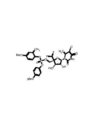 COC1=CC(C)C(OP(=O)(OC[C@@]2(C(F)F)O[C@@H](N3C(=O)NC(=O)C(Cl)C3C)[C@H](O)[C@H]2O)Oc2ccc(OC)cc2)C=C1